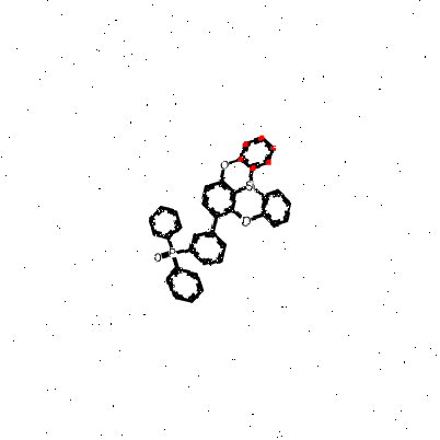 O=P(c1ccccc1)(c1ccccc1)c1cccc(-c2ccc3c4c2Oc2ccccc2[Si]4(c2ccccc2)c2ccccc2O3)c1